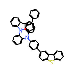 c1ccc(-c2ccc(N(c3ccc(-c4ccc5sc6ccccc6c5c4)cc3)c3ccccc3-n3c4ccccc4c4ccccc43)cc2)cc1